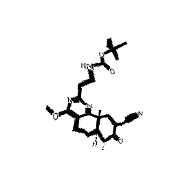 COc1nc(CCNC(=O)OC(C)(C)C)nc2c1CC[C@@H]1[C@@H](C)C(=O)C(C#N)=C[C@@]21C